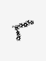 CC(Cn1cnnn1)Oc1cc(-c2cnc(Nc3cn(C4CC5(C4)CN(C4(C)CCOCC4)C5)nc3C(C)C)nc2)ccc1Cl